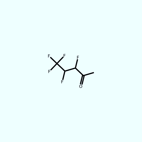 CC(=O)C(F)C(F)C(F)(F)F